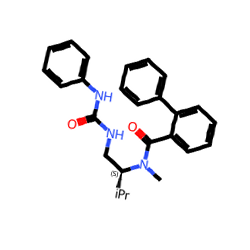 CC(C)[C@@H](CNC(=O)Nc1ccccc1)N(C)C(=O)c1ccccc1-c1ccccc1